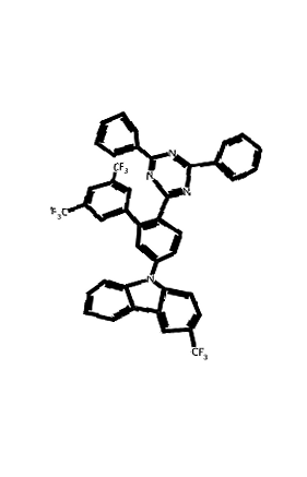 FC(F)(F)c1cc(-c2cc(-n3c4ccccc4c4cc(C(F)(F)F)ccc43)ccc2-c2nc(-c3ccccc3)nc(-c3ccccc3)n2)cc(C(F)(F)F)c1